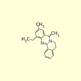 C=C1c2cc(C)cc(CC)c2N=C2c3ccccc3CCN12